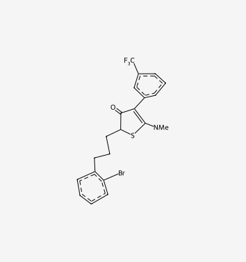 CNC1=C(c2cccc(C(F)(F)F)c2)C(=O)C(CCCc2ccccc2Br)S1